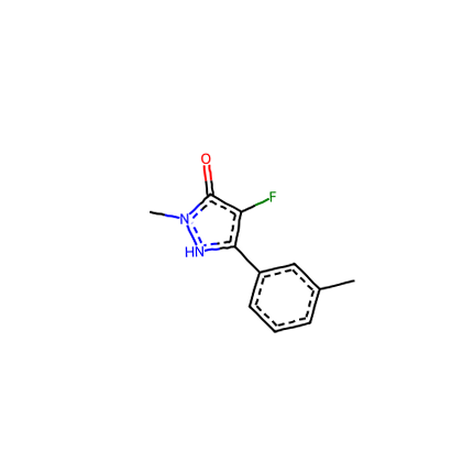 Cc1cccc(-c2[nH]n(C)c(=O)c2F)c1